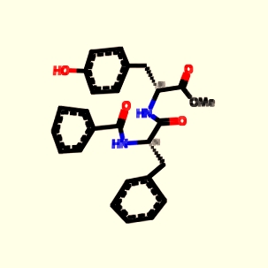 COC(=O)[C@@H](Cc1ccc(O)cc1)NC(=O)[C@H](Cc1ccccc1)NC(=O)c1ccccc1